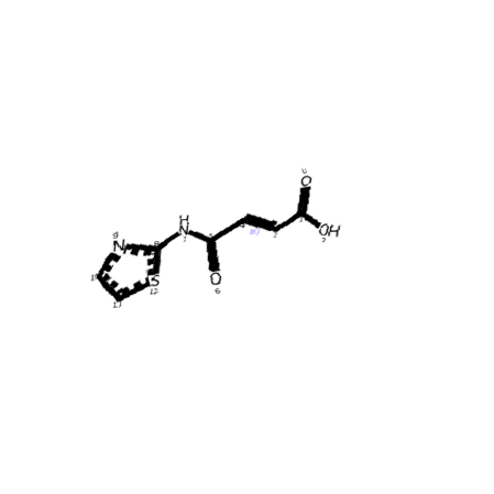 O=C(O)/C=C/C(=O)Nc1nccs1